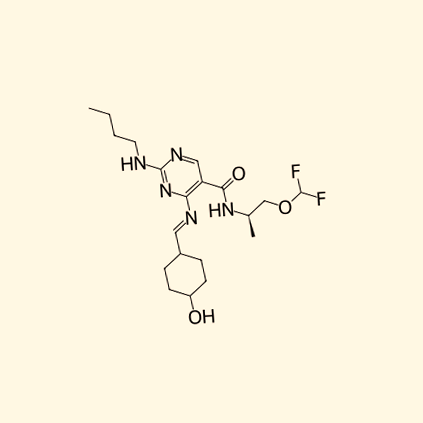 CCCCNc1ncc(C(=O)N[C@H](C)COC(F)F)c(/N=C/C2CCC(O)CC2)n1